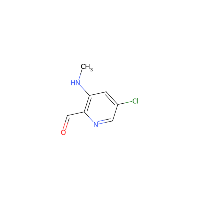 CNc1cc(Cl)cnc1C=O